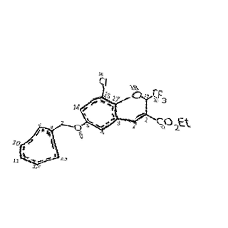 CCOC(=O)C1=Cc2cc(OCc3ccccc3)cc(Cl)c2OC1C(F)(F)F